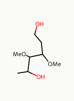 COC(CCO)C(OC)C(C)O